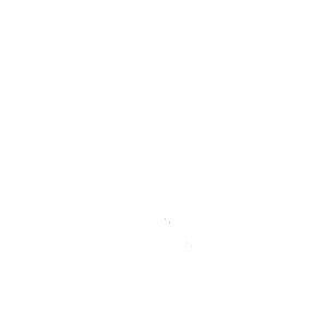 CS(=O)(=O)c1ccc(-c2nnccc2-c2ccc(Cl)cc2)cc1